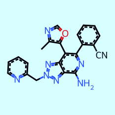 Cc1ncoc1-c1c(-c2ccccc2C#N)nc(N)c2nn(Cc3ccccn3)nc12